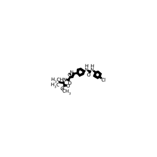 COC(=O)C(NC(=O)c1cc(-c2ccc(NC(=O)Nc3ccc(Cl)cc3)cc2)no1)C(C)C